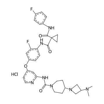 CN(C)C1CN(C2CCN(C(=O)Nc3cc(Oc4ccc(NC(=O)C5(C(=O)Nc6ccc(F)cc6)CC5)c(F)c4)ccn3)CC2)C1.Cl